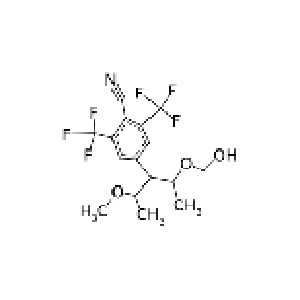 COC(C)C(c1cc(C(F)(F)F)c(C#N)c(C(F)(F)F)c1)C(C)OCO